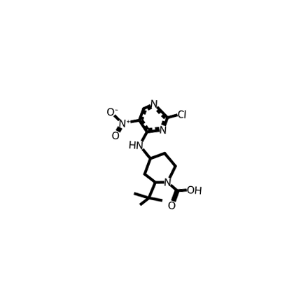 CC(C)(C)C1CC(Nc2nc(Cl)ncc2[N+](=O)[O-])CCN1C(=O)O